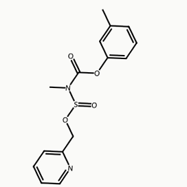 Cc1cccc(OC(=O)N(C)S(=O)OCc2ccccn2)c1